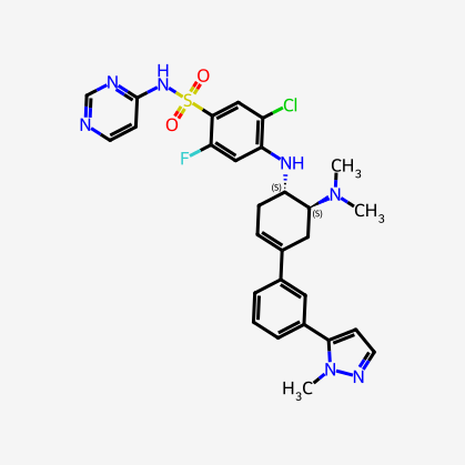 CN(C)[C@H]1CC(c2cccc(-c3ccnn3C)c2)=CC[C@@H]1Nc1cc(F)c(S(=O)(=O)Nc2ccncn2)cc1Cl